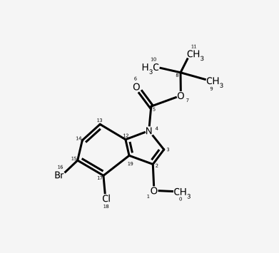 COc1cn(C(=O)OC(C)(C)C)c2ccc(Br)c(Cl)c12